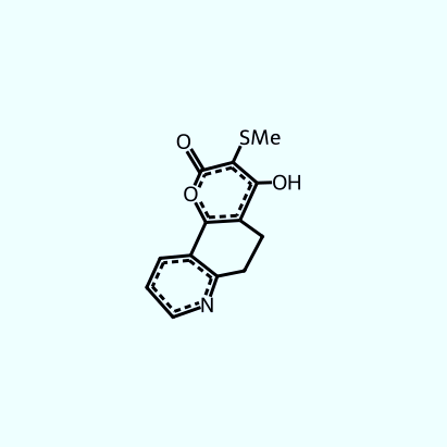 [CH2]Sc1c(O)c2c(oc1=O)-c1cccnc1CC2